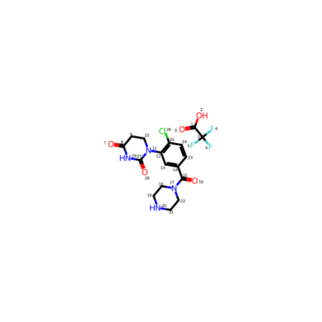 O=C(O)C(F)(F)F.O=C1CCN(c2cc(C(=O)N3CCNCC3)ccc2Cl)C(=O)N1